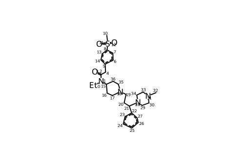 CCN(C(=O)Cc1ccc(S(C)(=O)=O)cc1)C1CCN(CCC(c2ccccc2)N2CCN(C)CC2)CC1